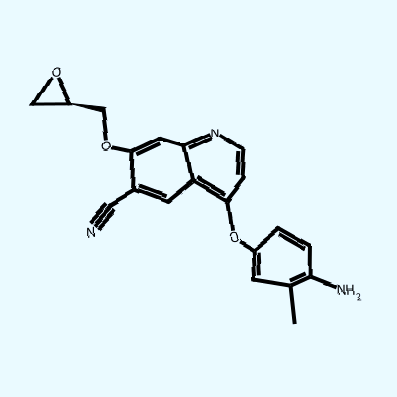 Cc1cc(Oc2ccnc3cc(OC[C@H]4CO4)c(C#N)cc23)ccc1N